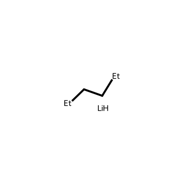 [CH2]CCCCC.[LiH]